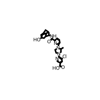 CC1CN(c2ncc(C(=O)O)cc2Cl)CCN1c1cccc(C(=O)NC2C3CC4CC2CC(O)(C4)C3)n1